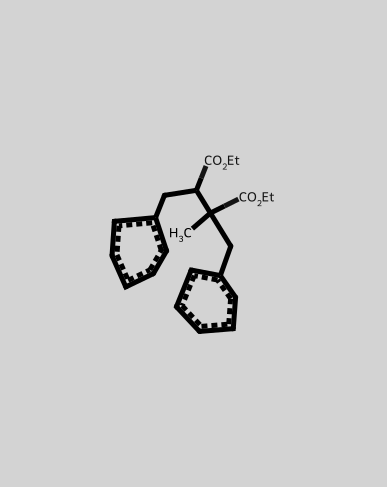 CCOC(=O)C(Cc1ccccc1)C(C)(Cc1ccccc1)C(=O)OCC